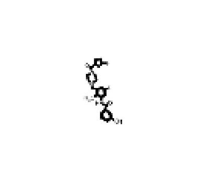 Cc1c(CN2CCN(C(=O)C3CCC(F)C3)CC2)cc(F)cc1NC(=O)c1cccc(C#N)c1